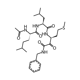 CSCC[C@H](NC(=O)[C@H](CC(C)C)NC(=O)[C@H](CCC(C)C)NC(C)=O)C(=O)C(=O)NCc1ccccc1